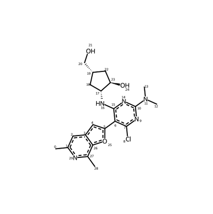 Cc1cc2cc(-c3c(Cl)nc(N(C)C)nc3N[C@@H]3C[C@H](CO)C[C@H]3O)oc2c(C)n1